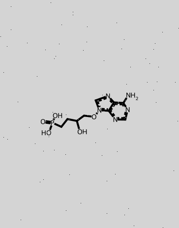 Nc1ncnc2c1ncn2OCC(O)CCP(=O)(O)O